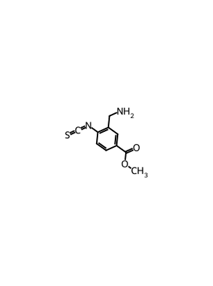 COC(=O)c1ccc(N=C=S)c(CN)c1